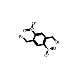 O=[N+]([O-])c1cc(CBr)c([N+](=O)[O-])cc1CBr